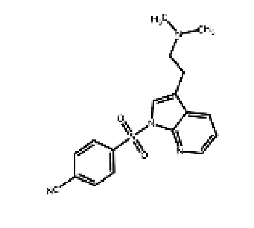 CN(C)CCc1cn(S(=O)(=O)c2ccc(C#N)cc2)c2ncccc12